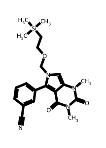 Cn1c(=O)c2c(-c3cccc(C#N)c3)n(COCC[Si](C)(C)C)cc2n(C)c1=O